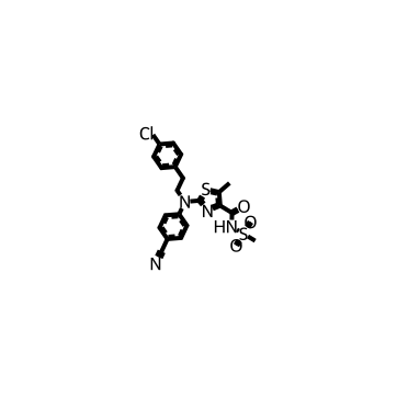 Cc1sc(N(CCc2ccc(Cl)cc2)c2ccc(C#N)cc2)nc1C(=O)NS(C)(=O)=O